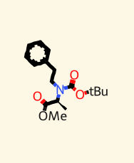 COC(=O)[C@H](C)N(CCc1ccccc1)C(=O)OC(C)(C)C